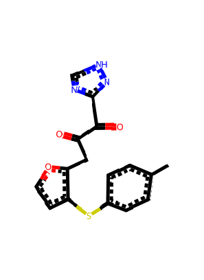 Cc1ccc(Sc2ccoc2CC(=O)C(=O)c2nc[nH]n2)cc1